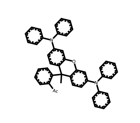 CC(=O)c1ccccc1C1(C)c2ccc(N(c3ccccc3)c3ccccc3)cc2Oc2cc(N(c3ccccc3)c3ccccc3)ccc21